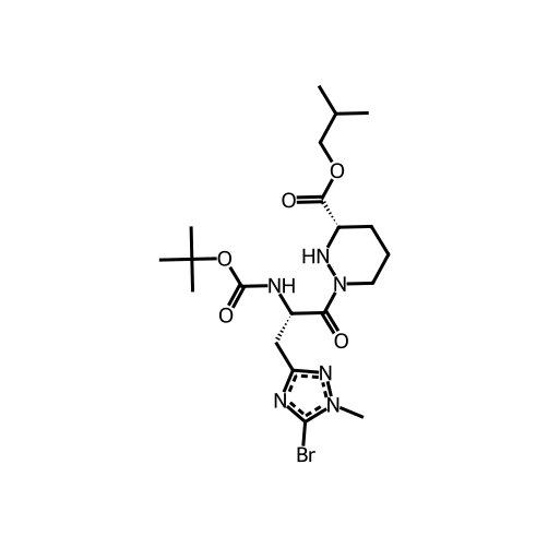 CC(C)COC(=O)[C@@H]1CCCN(C(=O)[C@H](Cc2nc(Br)n(C)n2)NC(=O)OC(C)(C)C)N1